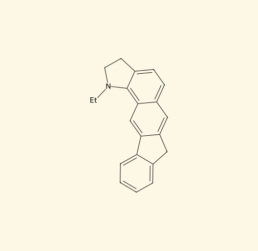 CCN1CCc2ccc3cc4c(cc3c21)-c1ccccc1C4